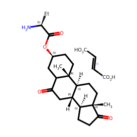 CC[C@H](N)C(=O)O[C@H]1CC[C@@]2(C)C(C1)C(=O)C[C@@H]1[C@@H]2CC[C@]2(C)C(=O)CC[C@@H]12.O=C(O)/C=C/C(=O)O